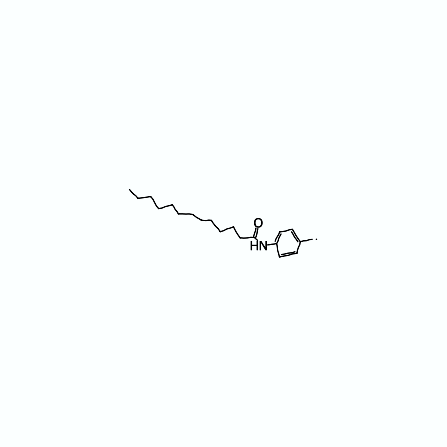 [CH2]c1ccc(NC(=O)CCCCCCCCCCCC)cc1